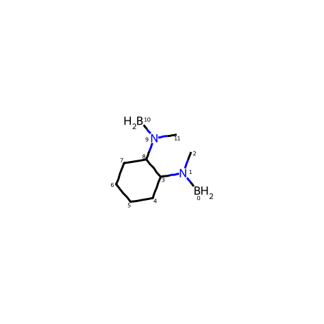 BN(C)C1CCCCC1N(B)C